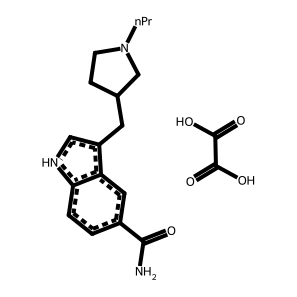 CCCN1CCC(Cc2c[nH]c3ccc(C(N)=O)cc23)C1.O=C(O)C(=O)O